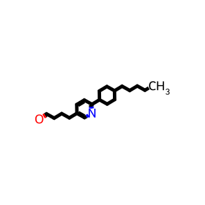 CCCCCC1CCC(c2ccc(CCCC=O)cn2)CC1